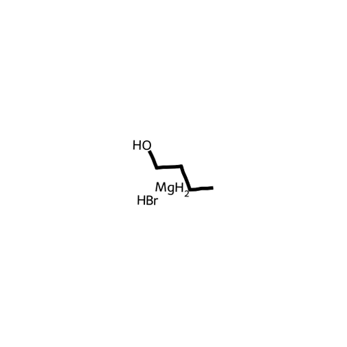 Br.CCCCO.[MgH2]